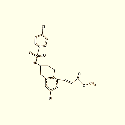 COC(=O)C=Cc1cc(Br)cc2c1CCC(NS(=O)(=O)c1ccc(Cl)cc1)C2